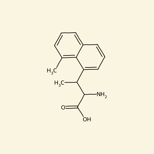 Cc1cccc2cccc(C(C)C(N)C(=O)O)c12